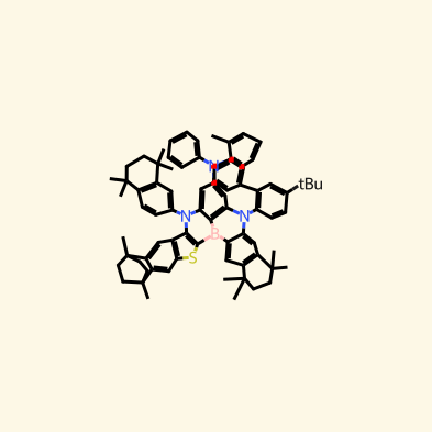 Cc1ccccc1N(c1ccccc1)c1cc2c3c(c1)N(c1ccc4c(c1)C(C)(C)CCC4(C)C)c1c(sc4cc5c(cc14)C1(C)CCC5(C)CC1)B3c1cc3c(cc1N2c1ccc(C(C)(C)C)cc1-c1ccccc1)C(C)(C)CCC3(C)C